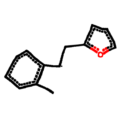 Cc1ccccc1[CH]Cc1ccco1